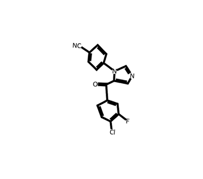 N#Cc1ccc(-n2cncc2C(=O)c2ccc(Cl)c(F)c2)cc1